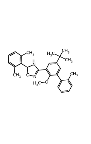 COc1c(C2=NOC(c3c(C)cccc3C)N2)cc(C(C)(C)C)cc1-c1ccccc1C